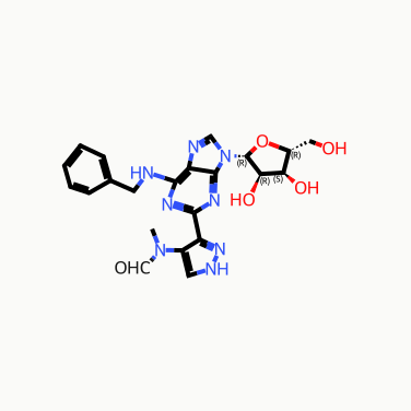 CN(C=O)c1c[nH]nc1-c1nc(NCc2ccccc2)c2ncn([C@@H]3O[C@H](CO)[C@@H](O)[C@H]3O)c2n1